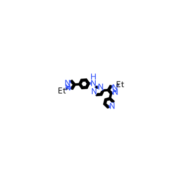 CCn1cc(-c2ccc(Nc3nccc(-c4cn(CC)nc4-c4cccnc4)n3)cc2)cn1